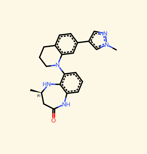 C[C@@H]1CC(=O)Nc2cccc(N3CCCc4ccc(-c5cnn(C)c5)cc43)c2N1